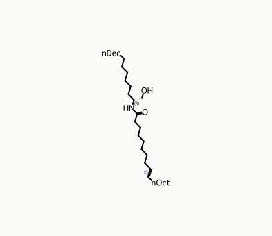 CCCCCCCC/C=C/CCCCCCCC(=O)N[C@@H](CO)CCCCCCCCCCCCCCCC